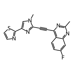 Cc1nc(C#Cc2nc(-c3nccs3)cn2C)c2ccc(F)cc2n1